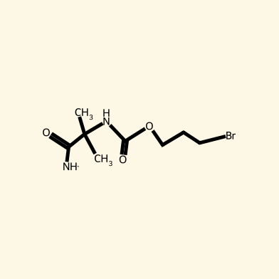 CC(C)(NC(=O)OCCCBr)C([NH])=O